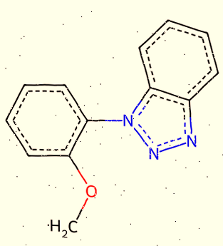 [CH2]Oc1ccccc1-n1nnc2ccccc21